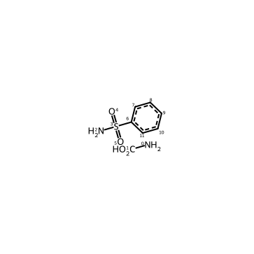 NC(=O)O.NS(=O)(=O)c1ccccc1